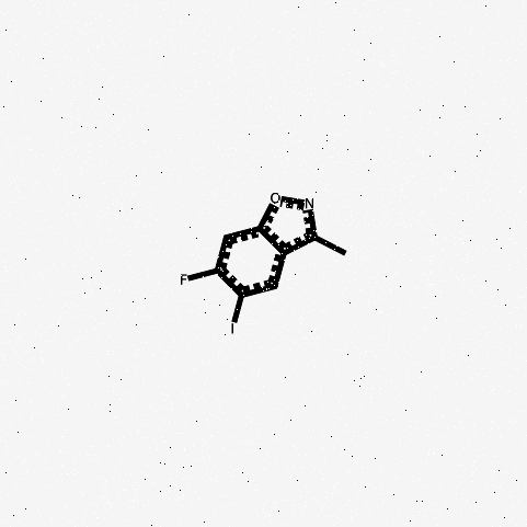 Cc1noc2cc(F)c(I)cc12